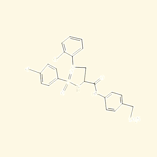 O=C(O)Cc1ccc(NC(=O)C(COc2ccccc2Cl)NS(=O)(=O)c2ccc(Cl)cc2)cc1